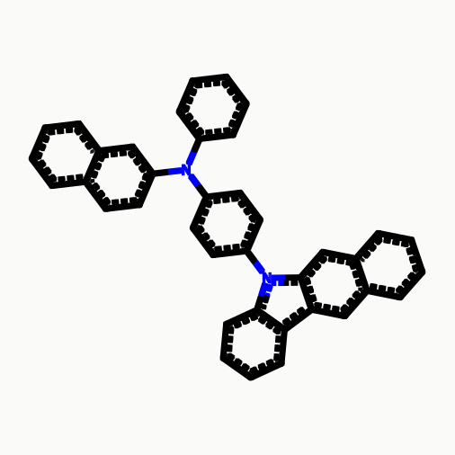 c1ccc(N(c2ccc(-n3c4ccccc4c4cc5ccccc5cc43)cc2)c2ccc3ccccc3c2)cc1